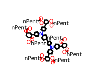 CCCCCC(=O)OC1C=C(c2ccc(N(c3ccc(C4=CC(OC(=O)CCCCC)CCC4OC(=O)CCCCC)cc3)c3ccc(-c4ccc(N(c5ccc(C6=CC(OC(=O)CCCCC)CCC6OC(=O)CCCCC)cc5)c5ccc(C6=CC(OC(=O)CCCCC)CCC6OC(=O)CCCCC)cc5)cc4)cc3)cc2)C(OC(=O)CCCCC)CC1